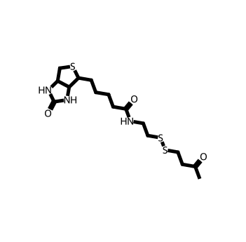 CC(=O)CCSSCCNC(=O)CCCCC1SCC2NC(=O)NC21